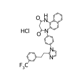 Cl.O=C1CC(=O)N(c2ccc(-n3ccnc3CCc3cccc(C(F)(F)F)c3)cc2)c2ccc3ccccc3c2N1